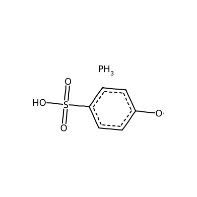 P.[O]c1ccc(S(=O)(=O)O)cc1